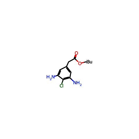 CCC(C)OC(=O)Cc1cc(N)c(Cl)c(N)c1